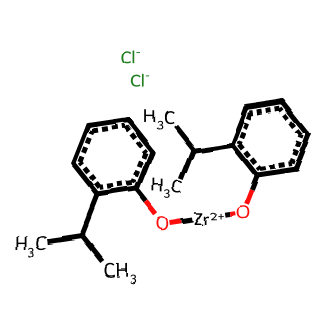 CC(C)c1ccccc1[O][Zr+2][O]c1ccccc1C(C)C.[Cl-].[Cl-]